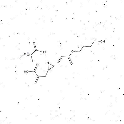 C/C=C(\C)C(=O)O.C=C(CC1CO1)C(=O)O.C=CC(=O)OCCCCO